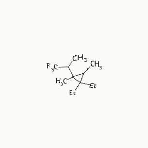 CCC1(CC)C(C)C1(C)C(C)C(F)(F)F